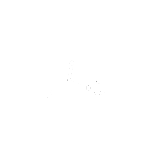 O=C([O-])[O-].[C].[Ca+2]